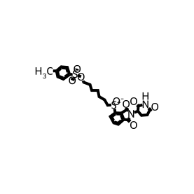 Cc1ccc(S(=O)(=O)OCCCCCCC[S+]([O-])c2cccc3c2C(=O)N(C2CCC(=O)NC2=O)C3=O)cc1